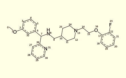 COc1cccc(C(NCC2CCN(CCOc3ccccc3F)CC2)c2ccccn2)c1